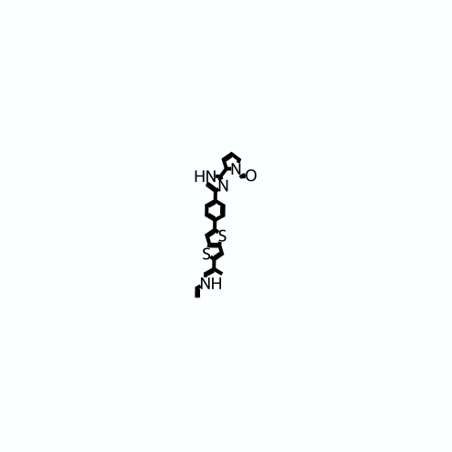 C=CN/C=C(\C)c1cc2sc(-c3ccc(-c4c[nH]c(C5C=CCN5C=O)n4)cc3)cc2s1